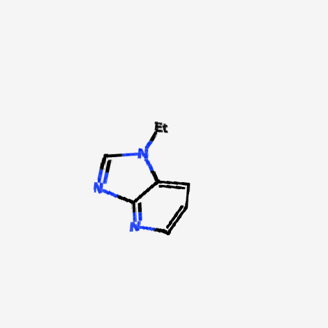 CCn1cnc2ncccc21